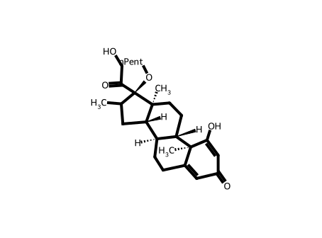 CCCCCO[C@]1(C(=O)CO)C(C)C[C@H]2[C@@H]3CCC4=CC(=O)C=C(O)[C@]4(C)[C@H]3CC[C@@]21C